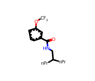 CCCC(CCC)CNC(=O)c1cccc(OC(F)(F)F)c1